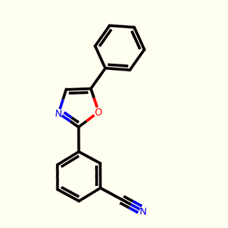 N#Cc1cccc(-c2ncc(-c3ccccc3)o2)c1